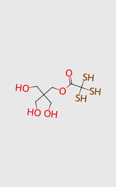 O=C(OCC(CO)(CO)CO)C(S)(S)S